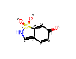 O=C1C=CC2=CNS(=O)(=O)C2=C1